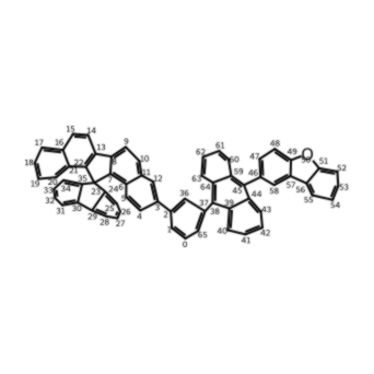 c1cc(-c2ccc3c4c(ccc3c2)-c2ccc3ccccc3c2C42c3ccccc3-c3ccccc32)cc(-c2c3ccccc3c(-c3ccc4oc5ccccc5c4c3)c3ccccc23)c1